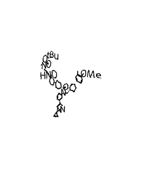 COc1ccc([C@H]2CC[C@H](CN(c3cccc(-c4cnn(C5CC5)c4)c3)C(=O)[C@H]3CC[C@H](OC(=O)NCCN(C)C(=O)OC(C)(C)C)CC3)CC2)cc1C